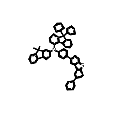 CC1(C)c2ccccc2-c2ccc(N(c3ccc(-c4ccc5sc6ccc(-c7ccccc7)cc6c5c4)cc3)c3cccc4c3-c3ccccc3C4(c3ccccc3)c3ccccc3)cc21